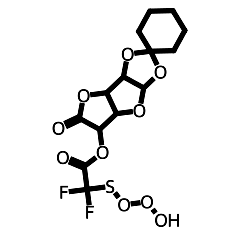 O=C1OC2C3OC4(CCCCC4)OC3OC2C1OC(=O)C(F)(F)SOOO